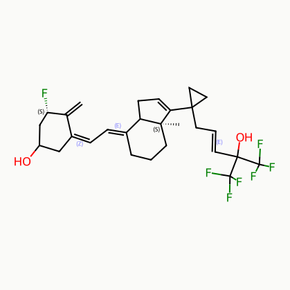 C=C1/C(=C\C=C2/CCC[C@]3(C)C(C4(C/C=C/C(O)(C(F)(F)F)C(F)(F)F)CC4)=CCC23)CC(O)C[C@@H]1F